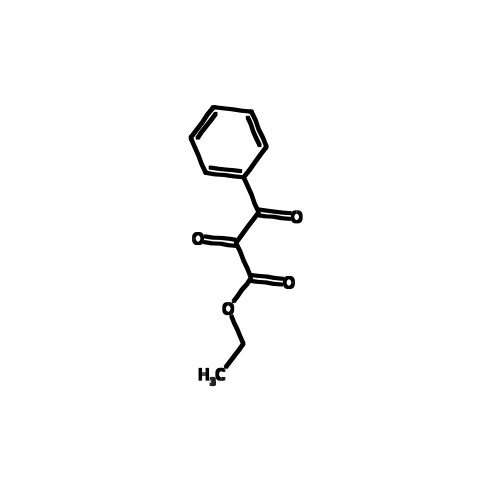 CCOC(=O)C(=O)C(=O)c1ccccc1